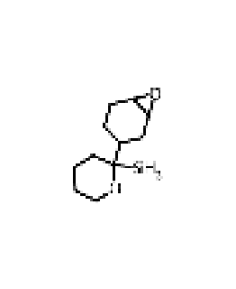 [SiH3]C1(C2CCC3OC3C2)CCCCO1